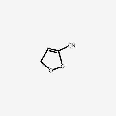 N#CC1=CCOO1